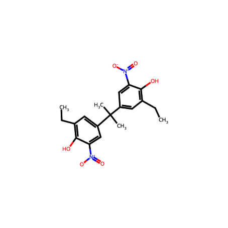 CCc1cc(C(C)(C)c2cc(CC)c(O)c([N+](=O)[O-])c2)cc([N+](=O)[O-])c1O